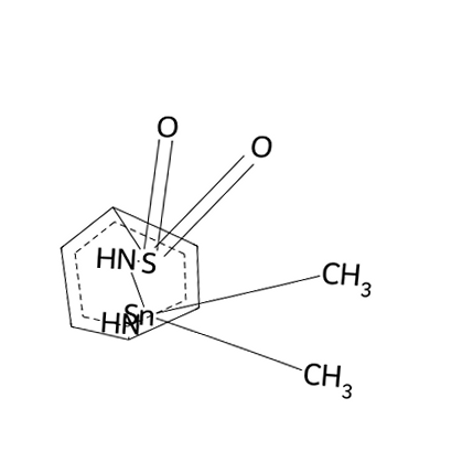 [CH3][Sn]1([CH3])[NH]c2ccc(cc2)S(=O)(=O)[NH]1